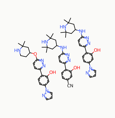 CC1(C)CC(Nc2ccc(-c3ccc(-n4cccn4)cc3O)nn2)CC(C)(C)N1.CC1(C)CC(Nc2ccc(-c3ccc(C#N)cc3O)nn2)CC(C)(C)N1.CC1(C)CC(Oc2ccc(-c3ccc(-n4cccn4)cc3O)nn2)CCN1